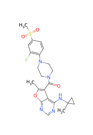 Cc1oc2ncnc(NC3(C)CC3)c2c1C(=O)N1CCN(c2ccc(S(C)(=O)=O)cc2F)CC1